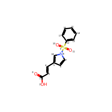 O=C(O)/C=C/c1ccn(S(=O)(=O)c2ccccc2)c1